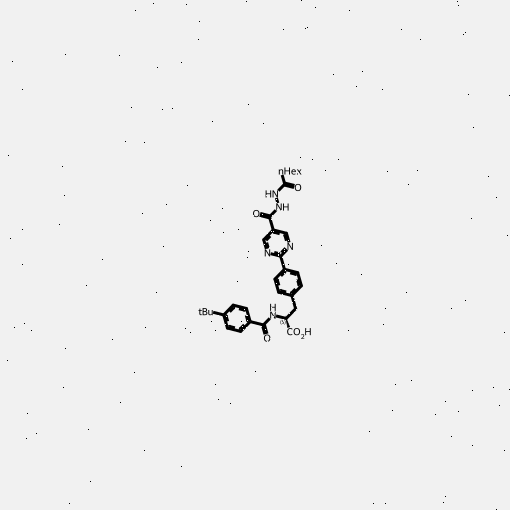 CCCCCCC(=O)NNC(=O)c1cnc(-c2ccc(C[C@H](NC(=O)c3ccc(C(C)(C)C)cc3)C(=O)O)cc2)nc1